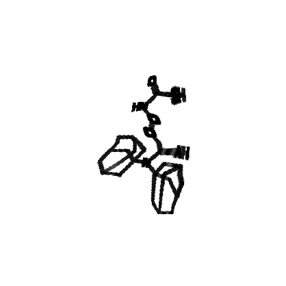 N=C(OONC(=O)S)N(C12CC3CC(CC(C3)C1)C2)C12CC3CC(CC(C3)C1)C2